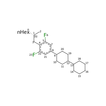 CCCCCC[C@H](C)Cc1c(F)cc(C2CCC(C3CCCCC3)CC2)cc1F